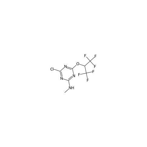 CNc1nc(Cl)nc(OC(C(F)(F)F)C(F)(F)F)n1